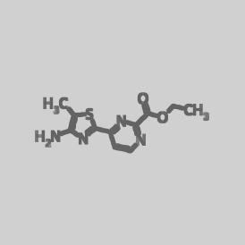 CCOC(=O)c1nccc(-c2nc(N)c(C)s2)n1